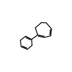 C1=CCCCC(C2=CCC=CC2)=C1